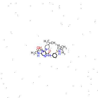 CC(C)C1CCN(c2nc(NC(C)(C)CO)cnc2C(=O)Nc2cccc(SNC(C)(C)C)c2)CC1